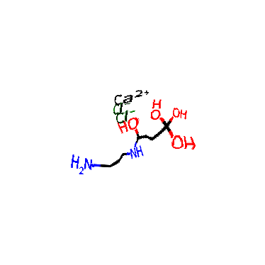 NCCNC(O)CC(O)(O)O.[Ca+2].[Cl-].[Cl-]